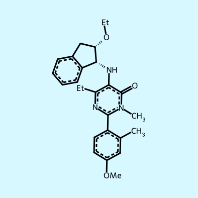 CCO[C@H]1Cc2ccccc2[C@H]1Nc1c(CC)nc(-c2ccc(OC)cc2C)n(C)c1=O